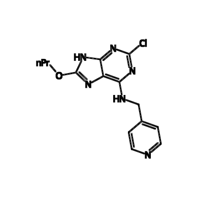 CCCOc1nc2c(NCc3ccncc3)nc(Cl)nc2[nH]1